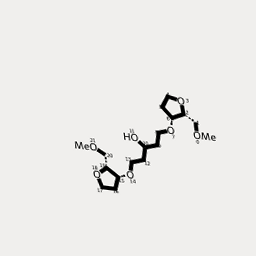 COC[C@H]1OCC[C@H]1OCCC(O)CCO[C@@H]1CCO[C@@H]1COC